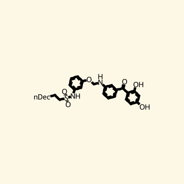 CCCCCCCCCCCCS(=O)(=O)Nc1cccc(OCNc2cccc(C(=O)c3ccc(O)cc3O)c2)c1